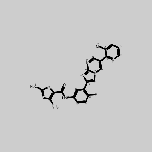 Cc1nc(C)c(C(=O)Nc2ccc(F)c(-c3cn4cc(-c5ncccc5Cl)cnc4n3)c2)o1